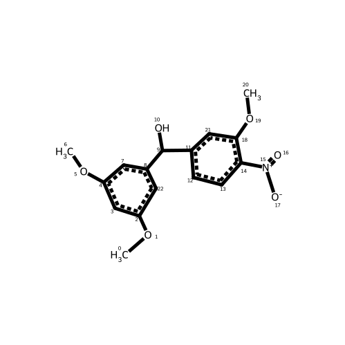 COc1cc(OC)cc(C(O)c2ccc([N+](=O)[O-])c(OC)c2)c1